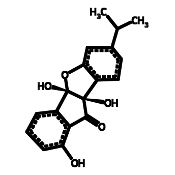 CC(C)c1ccc2c(c1)O[C@@]1(O)c3cccc(O)c3C(=O)[C@@]21O